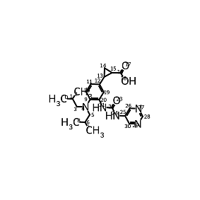 CC(C)CN(CC(C)C)c1ccc(C2CC2C(=O)O)cc1NC(=O)Nc1cncnc1